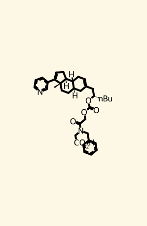 CCCC[C@@H](CC1=CC[C@@H]2[C@H](CC[C@]3(C)C(c4cccnc4)=CC[C@@H]23)C1)OC(=O)OCC(=O)N(CC(=O)O)Cc1ccccc1